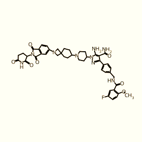 COc1ccc(F)cc1C(=O)NCc1ccc(-c2nn(C3CCN(C4CCC5(CC4)CN(c4ccc6c(c4)C(=O)N(C4CCC(=O)NC4=O)C6=O)C5)CC3)c(N)c2C(N)=O)cc1